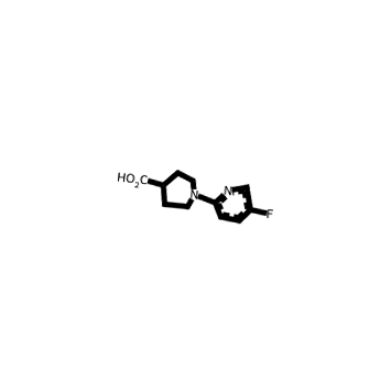 O=C(O)C1CCN(c2ccc(F)cn2)CC1